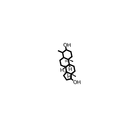 CC1C(O)CC[C@@]2(C)C1CC[C@@H]1[C@H]2CC[C@]2(C)C(O)CC[C@@H]12